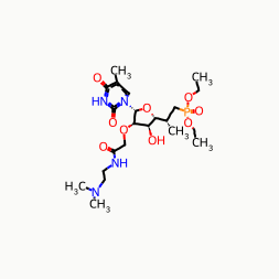 CCOP(=O)(C[C@H](C)[C@H]1O[C@@H](n2cc(C)c(=O)[nH]c2=O)[C@H](OCC(=O)NCCN(C)C)[C@@H]1O)OCC